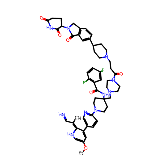 CCOC1=CN/C(=C(/C#N)C=N)C(c2ccc(N3CCC(CN4CCN(C(=O)CCN5CCC(c6ccc7c(c6)C(=O)N(C6CCC(=O)NC6=O)C7)CC5)CC4)(NC(=O)c4cc(F)ccc4F)CC3)nc2)=C1